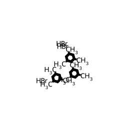 Br.Br.Br.Cc1cc(C)cc(C)c1.Cc1cc(C)cc(C)c1.Cc1cc(C)cc(C)c1